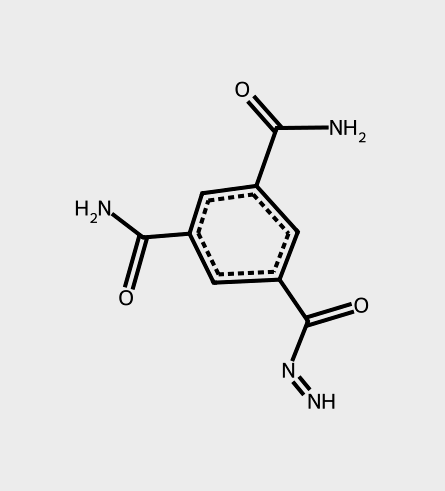 N=NC(=O)c1cc(C(N)=O)cc(C(N)=O)c1